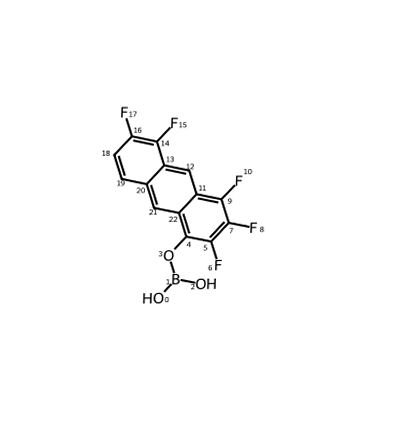 OB(O)Oc1c(F)c(F)c(F)c2cc3c(F)c(F)ccc3cc12